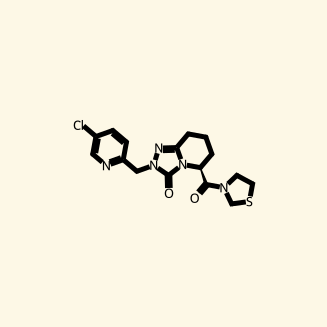 O=C([C@@H]1CCCc2nn(Cc3ccc(Cl)cn3)c(=O)n21)N1CCSC1